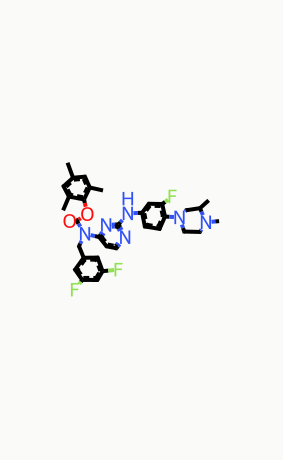 Cc1cc(C)c(OC(=O)N(Cc2cc(F)cc(F)c2)c2ccnc(Nc3ccc(N4CCN(C)C(C)C4)c(F)c3)n2)c(C)c1